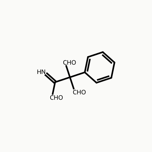 N=C(C=O)C(C=O)(C=O)c1ccccc1